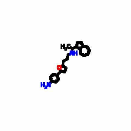 CC(NCCCc1ccc(-c2ccc(N)cc2)o1)c1ccc2cccccc1-2